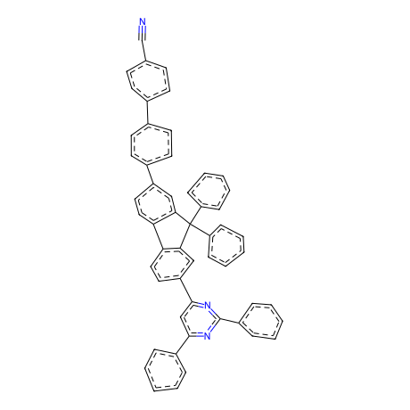 N#Cc1ccc(-c2ccc(-c3ccc4c(c3)C(c3ccccc3)(c3ccccc3)c3cc(-c5cc(-c6ccccc6)nc(-c6ccccc6)n5)ccc3-4)cc2)cc1